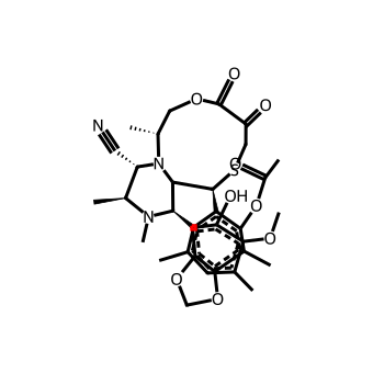 COc1c(C)cc(C)c([C@@H]2C3[C@H](c4cc5c(c(C)c4OC(C)=O)OCO5)SCC(=O)C(=O)OC[C@@H](C)N3[C@@H](C#N)[C@H](C)N2C)c1O